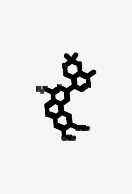 COc1cc2ncc3c(N)nc(-c4cnc(C)c5c4COC(C)(C)O5)cc3c2cc1OC